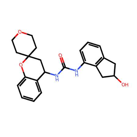 O=C(Nc1cccc2c1CC(O)C2)NC1CC2(CCOCC2)Oc2ccccc21